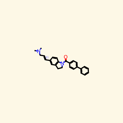 CN(C)C/C=C/c1ccc2c(c1)CCN2C(=O)c1ccc(-c2ccccc2)cc1